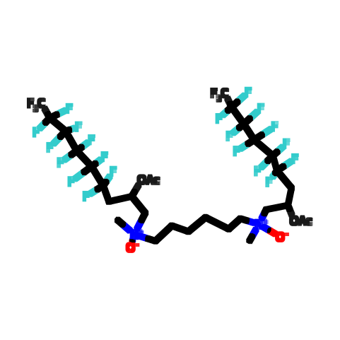 CC(=O)OC(CC(F)(F)C(F)(F)C(F)(F)C(F)(F)C(F)(F)C(F)(F)F)C[N+](C)([O-])CCCCCC[N+](C)([O-])CC(CC(F)(F)C(F)(F)C(F)(F)C(F)(F)C(F)(F)C(F)(F)F)OC(C)=O